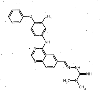 Cc1cc(Nc2ncnc3ccc(/C=N/NC(=N)N(C)C)cc23)ccc1Oc1ccccc1